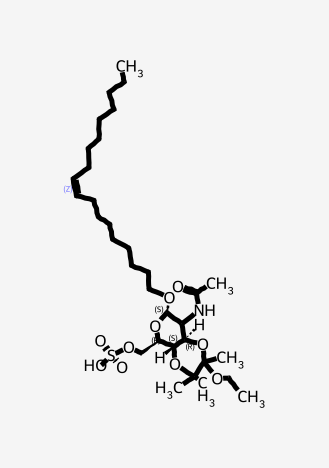 CCCCCCCC/C=C\CCCCCCCCO[C@H]1O[C@H](COS(=O)(=O)O)[C@H]2OC(C)(C)C(C)(OCC)O[C@@H]2C1NC(C)=O